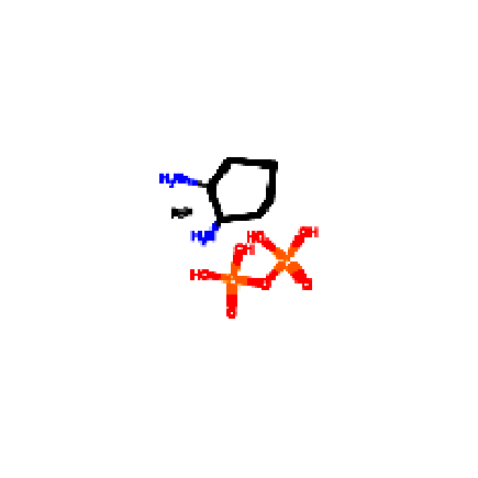 N[C@@H]1CCCC[C@H]1N.O=P(O)(O)OP(=O)(O)O.[Pt+2]